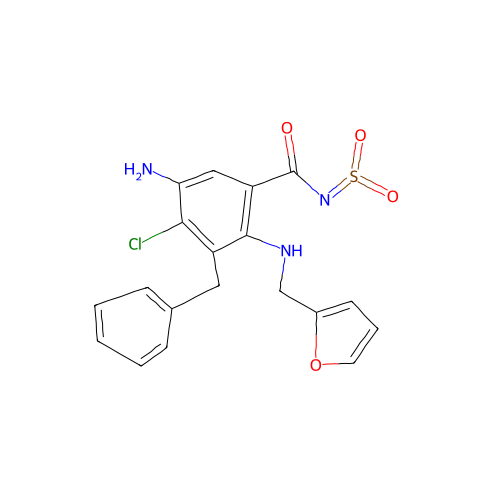 Nc1cc(C(=O)N=S(=O)=O)c(NCc2ccco2)c(Cc2ccccc2)c1Cl